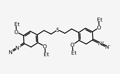 CCOC1=CC(CCSCCC2=C(OCC)CC(=[N+]=[N-])C(OCC)=C2)=C(OCC)CC1=[N+]=[N-]